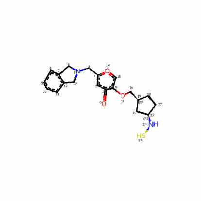 O=c1cc(CN2Cc3ccccc3C2)occ1OC[C@H]1CC[C@@H](NS)C1